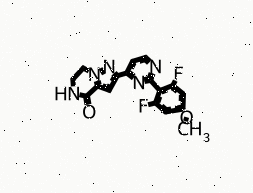 COc1cc(F)c(-c2nccc(-c3cc4n(n3)CCNC4=O)n2)c(F)c1